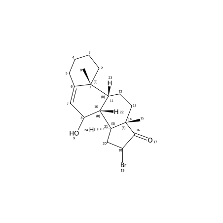 C[C@]12CCCCC1=CC(O)[C@@H]1[C@H]2CC[C@]2(C)C(=O)C(Br)C[C@@H]12